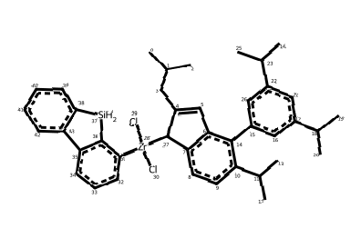 CC(C)CC1=Cc2c(ccc(C(C)C)c2-c2cc(C(C)C)cc(C(C)C)c2)[CH]1[Zr]([Cl])([Cl])[c]1cccc2c1[SiH2]c1ccccc1-2